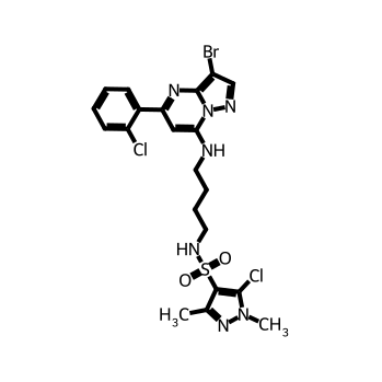 Cc1nn(C)c(Cl)c1S(=O)(=O)NCCCCNc1cc(-c2ccccc2Cl)nc2c(Br)cnn12